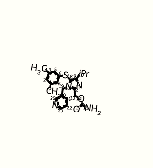 Cc1cc(C)cc(Sc2c(C(C)C)nc(COC(N)=O)n2Cc2cccnc2)c1